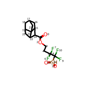 O=C(OCCC(F)(F)C(F)(F)[SH](=O)=O)C1C2CC3CC(C2)CC1C3